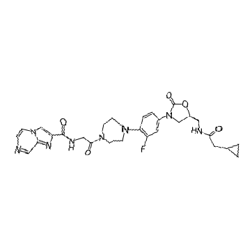 O=C(CC1CC1)NC[C@H]1CN(c2ccc(N3CCN(C(=O)CNC(=O)c4cn5ccncc5n4)CC3)c(F)c2)C(=O)O1